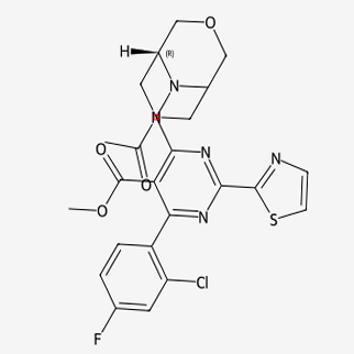 COC(=O)c1c(CN2C3COC[C@H]2CN(C(C)=O)C3)nc(-c2nccs2)nc1-c1ccc(F)cc1Cl